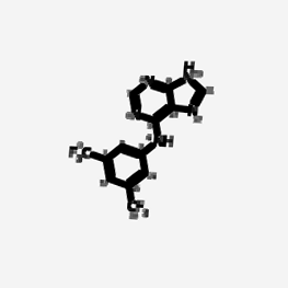 FC(F)(F)c1cc(Nc2ncnc3[nH]cnc23)cc(C(F)(F)F)c1